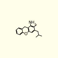 Cc1c(CC(C)C)cc2c(c1N)Cc1ccccc1O2